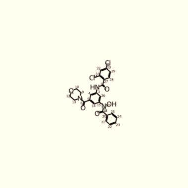 O=C(Nc1cc(C(=O)N2CCOCC2)cc(N(O)C(=O)c2ccccc2)c1)c1ccc(Cl)cc1Cl